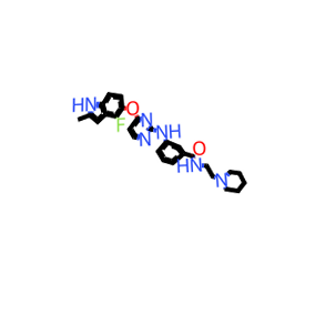 Cc1cc2c(F)c(Oc3ccnc(Nc4cccc(C(=O)NCCN5CCCCC5)c4)n3)ccc2[nH]1